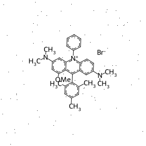 COc1cc(N(C)C)cc2c1c(-c1c(C)cc(C)cc1C)c1cc(N(C)C)ccc1[n+]2-c1ccccc1.[Br-]